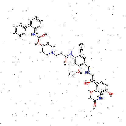 C#Cc1cc(CNC[C@H](O)c2ccc(O)c3c2OCC(=O)N3)c(OC)cc1NC(=O)CCN1CCC(OC(=O)Nc2ccccc2-c2ccccc2)CC1